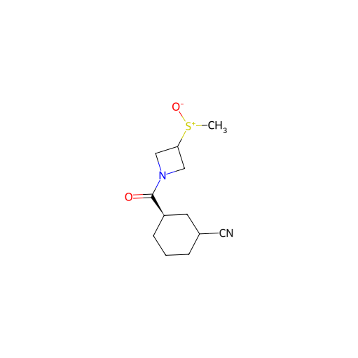 C[S+]([O-])C1CN(C(=O)[C@@H]2CCCC(C#N)C2)C1